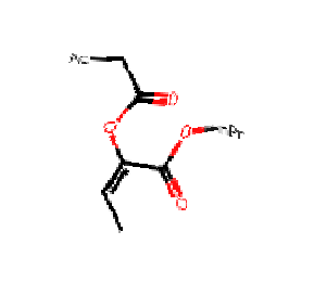 CC=C(OC(=O)CC(C)=O)C(=O)OCCC